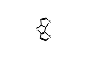 C1=CC2Sc3ccsc3C2S1